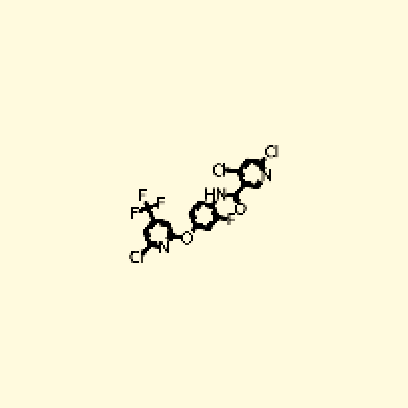 O=C(Nc1ccc(Oc2cc(C(F)(F)F)cc(Cl)n2)cc1F)c1cnc(Cl)cc1Cl